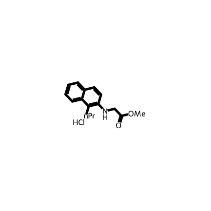 CCCc1c(NCC(=O)OC)ccc2ccccc12.Cl